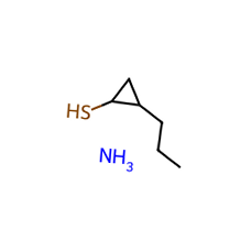 CCCC1CC1S.N